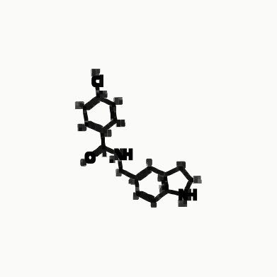 O=C(NCc1ccc2c(c1)CCN2)c1ccc(Cl)cc1